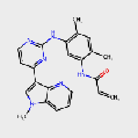 C=CC(=O)Nc1cc(Nc2nccc(-c3cn(C)c4cccnc34)n2)c(C)cc1C